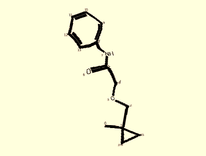 CC1(COCC(=O)Nc2ccccc2)CC1